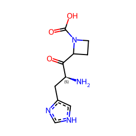 N[C@@H](Cc1c[nH]cn1)C(=O)C1CCN1C(=O)O